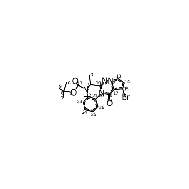 CC(NC(=O)OC(C)(C)C)c1nn2ccc(Br)c2c(=O)n1-c1ccccc1